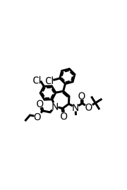 CCOC(=O)CN1C(=O)C(N(C)C(=O)OC(C)(C)C)C=C(c2ccccc2Cl)c2cc(Cl)ccc21